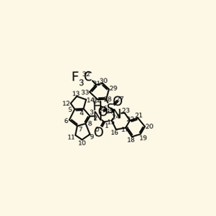 O=C(Nc1c2c(cc3c1CCC3)CCC2)[C@@H]1Cc2ccccc2CN1S(=O)(=O)c1ccc(C(F)(F)F)cc1